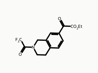 CCOC(=O)C(=O)c1ccc2c(c1)CN(C(=O)C(F)(F)F)CC2